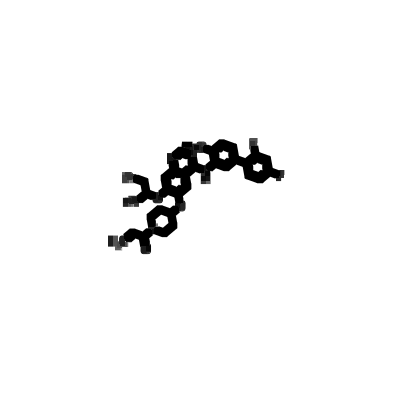 C=CC(=O)N1CCC(Oc2cc3c(Nc4cc(-c5ccc(F)cc5F)ccc4OC)ncnc3cc2OC(CCC)CC(C)C)CC1